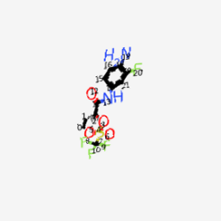 CC[C@@H](OS(=O)(=O)C(F)(F)F)C(=O)Nc1ccc(N)c(F)c1